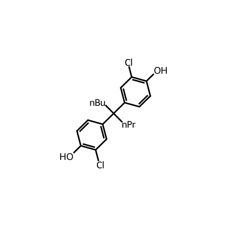 CCCCC(CCC)(c1ccc(O)c(Cl)c1)c1ccc(O)c(Cl)c1